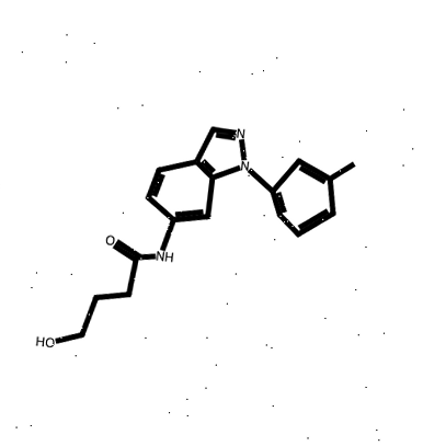 Cc1cccc(-n2ncc3ccc(NC(=O)CCCO)cc32)c1